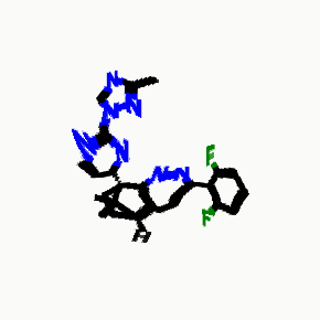 Cc1ncn(-c2nccc([C@]34CC[C@@H](c5cc(-c6c(F)cccc6F)nnc53)C4(C)C)n2)n1